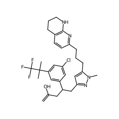 C=C(O)CC(Cc1cc(CCCc2ccc3c(n2)NCCC3)n(C)n1)c1cc(Cl)cc(C(C)(C)C(F)(F)F)c1